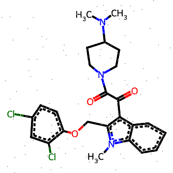 CN(C)C1CCN(C(=O)C(=O)c2c(COc3ccc(Cl)cc3Cl)n(C)c3ccccc23)CC1